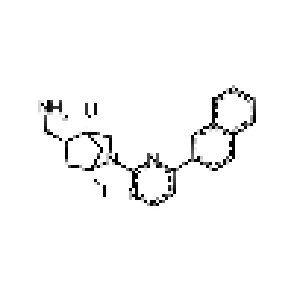 NC[C@@H]1C[C@H]2C[C@@H]1CN2c1nccc(-c2ccc3ccccc3c2)n1